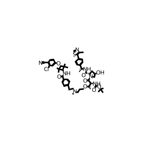 Cc1ncsc1-c1ccc([C@H](C)NC(=O)[C@@H]2C[C@@H](O)CN2C(=O)[C@@H](NC(=O)OC(C)(C)C)[C@@H](C)OCCCN(C)CCc2ccc(C(=O)NC3C(C)(C)C(Oc4ccc(C#N)c(Cl)c4)C3(C)C)cc2)cc1